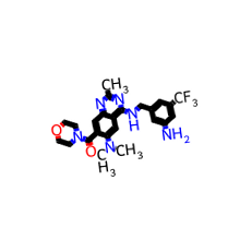 Cc1nc(NCc2cc(N)cc(C(F)(F)F)c2)c2cc(N(C)C)c(C(=O)N3CCOCC3)cc2n1